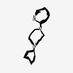 c1ccc(N2CCN(c3ccccn3)CC2)cc1